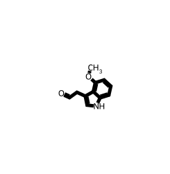 COc1cccc2[nH]cc(CC=O)c12